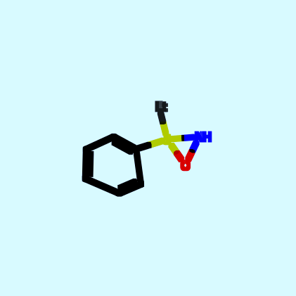 CCS1(c2ccccc2)NO1